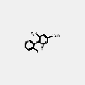 CCOC(=O)c1cc(F)c(-c2ccccc2F)c([N+](=O)[O-])c1